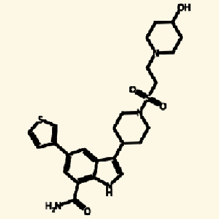 NC(=O)c1cc(-c2ccsc2)cc2c(C3CCN(S(=O)(=O)CCN4CCC(O)CC4)CC3)c[nH]c12